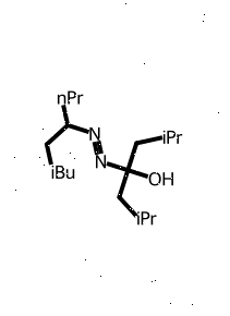 CCCC(CC(C)CC)N=NC(O)(CC(C)C)CC(C)C